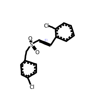 O=S(=O)(/C=C/c1ccccc1Cl)Cc1ccc(Cl)cc1